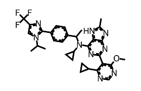 COc1ncnc(C2CC2)c1-c1nc(N(C2CC2)C(C)c2ccc(-c3nc(C(F)(F)F)cn3C(C)C)cc2)c2[nH]c(C)nc2n1